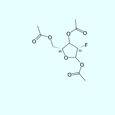 CC(=O)OC[C@H]1OC(OC(C)=O)[C@@H](F)C1OC(C)=O